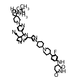 CCC1(C(=O)NC(C)(C)C)CCN(c2ccc(-c3nc(-c4cnn([C@H]5CC[C@H](N6CCC(c7ccc(N[C@@H]8CCC(=O)NC8=O)cc7F)CC6)CC5)c4)cn4ncc(C#N)c34)cn2)CC1